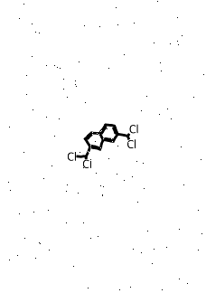 ClC(Cl)c1ccc2ccc(C(Cl)Cl)cc2c1